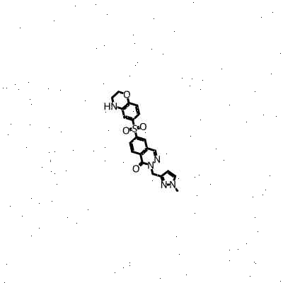 Cn1ccc(Cn2ncc3cc(S(=O)(=O)c4ccc5c(c4)NCCO5)ccc3c2=O)n1